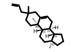 C=CCC1(C)CC[C@@]2(C)C(=CC[C@H]3[C@@H]4CCC[C@@]4(C)CC[C@@H]32)C1